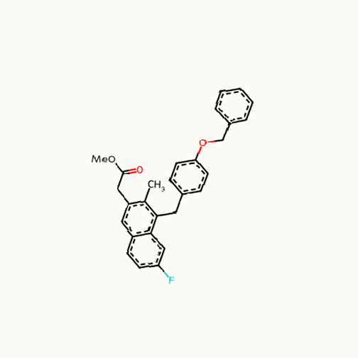 COC(=O)Cc1cc2ccc(F)cc2c(Cc2ccc(OCc3ccccc3)cc2)c1C